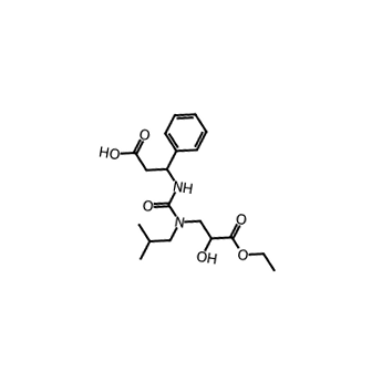 CCOC(=O)C(O)CN(CC(C)C)C(=O)NC(CC(=O)O)c1ccccc1